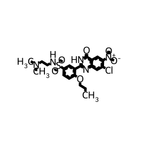 CCCOc1ccc(S(=O)(=O)NCCN(C)C)cc1-c1nc2cc(Cl)c([N+](=O)[O-])cc2c(=O)[nH]1